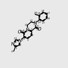 Cc1cn(-c2ccc3n(c2=O)CCN(c2ccccc2C)C3=O)cn1